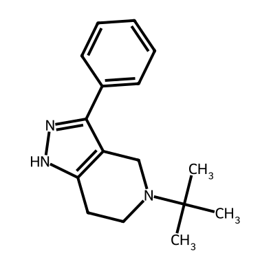 CC(C)(C)N1CCc2[nH]nc(-c3ccccc3)c2C1